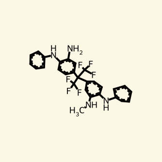 CNc1cc(C(c2ccc(Nc3ccccc3)c(N)c2)(C(F)(F)F)C(F)(F)F)ccc1Nc1ccccc1